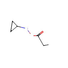 O=C(O)CC(=O)ONC1CC1